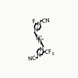 N#CCN1CCN(CC#[N+][N+]#CCN2CCN(CC#N)C(F)C2)C(C(F)(F)F)C1